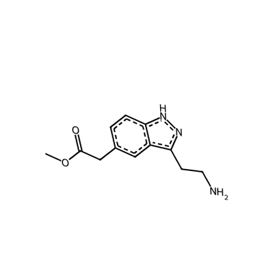 COC(=O)Cc1ccc2[nH]nc(CCN)c2c1